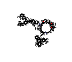 C=CC[C@@H]1/C=C(\C)C[C@H](C)C[C@H](OC)[C@H]2O[C@@](O)(C(=O)C(=O)N3CCCC[C@H]3C(=O)O[C@H](/C(C)=C/[C@@H]3CC[C@@H](O)[C@H](OC)C3)[C@H](C)[C@@H](O)CC1=O)[C@H](C)C[C@@H]2OC.CN1CC(=O)N2[C@H](c3ccc4c(c3)OCO4)c3[nH]c4ccccc4c3C[C@@H]2C1=O.O=C(NCC1CCCCN1)c1cc(OCC(F)(F)F)ccc1OCC(F)(F)F